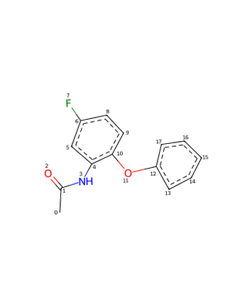 CC(=O)Nc1cc(F)ccc1Oc1ccccc1